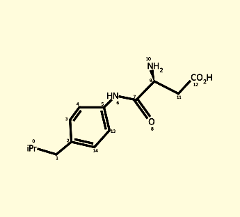 CC(C)Cc1ccc(NC(=O)[C@@H](N)CC(=O)O)cc1